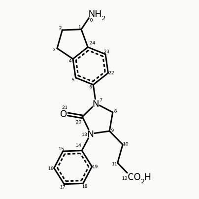 NC1CCc2cc(N3CC(CCC(=O)O)N(c4ccccc4)C3=O)ccc21